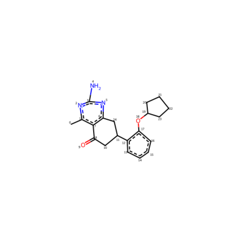 Cc1nc(N)nc2c1C(=O)CC(c1ccccc1OC1CCCC1)C2